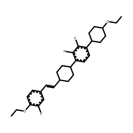 CCOc1ccc(/C=C/C2CCC(c3ccc(C4CCC(OCC)CC4)c(F)c3F)CC2)cc1F